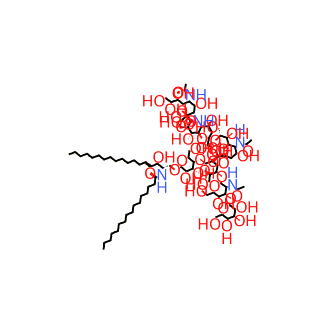 CCCCCCCCCCCCC/C=C/[C@@H](O)[C@H](CO[C@@H]1OC(CO)[C@@H](O[C@@H]2OC(CO)[C@H](O[C@@H]3OC(CO)[C@H](O)[C@H](O[C@@H]4OC(CO)[C@H](O)[C@H](O)C4O)C3NC(C)=O)[C@H](O[C@]3(C(=O)O)CC(O)[C@@H](NC(C)=O)C([C@H](O)[C@@H](CO)O[C@]4(C(=O)O)CC(O)[C@@H](NC(C)=O)C([C@H](O)[C@@H](CO)O[C@]5(C(=O)O)CC(O)[C@@H](NC(C)=O)C([C@H](O)[C@H](O)CO)O5)O4)O3)C2O)[C@H](O)C1O)NC(=O)CCCCCCCCCCCCCCC